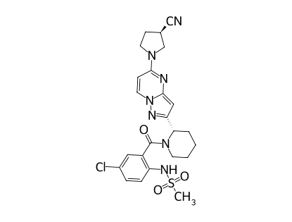 CS(=O)(=O)Nc1ccc(Cl)cc1C(=O)N1CCCC[C@H]1c1cc2nc(N3CC[C@@H](C#N)C3)ccn2n1